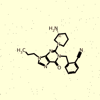 CCCn1cnc2c(=O)n(Cc3ccccc3C#N)c(N3CCC[C@@H](N)C3)nc21